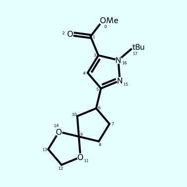 COC(=O)c1cc(C2CCC3(C2)OCCO3)nn1C(C)(C)C